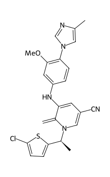 C=C1C(Nc2ccc(-n3cnc(C)c3)c(OC)c2)=CC(C#N)=CN1[C@@H](C)c1ccc(Cl)s1